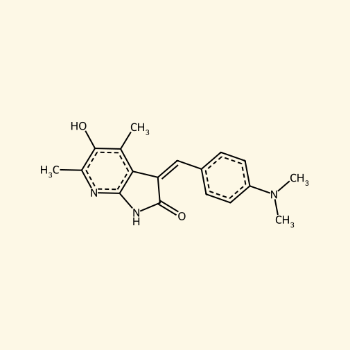 Cc1nc2c(c(C)c1O)C(=Cc1ccc(N(C)C)cc1)C(=O)N2